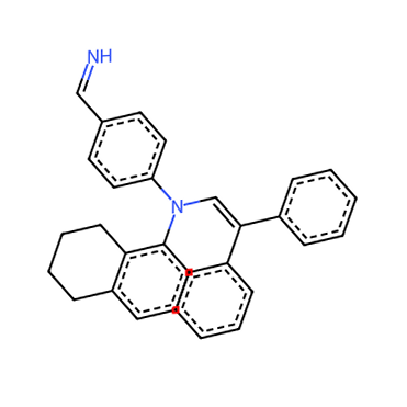 N=Cc1ccc(N(C=C(c2ccccc2)c2ccccc2)c2cccc3c2CCCC3)cc1